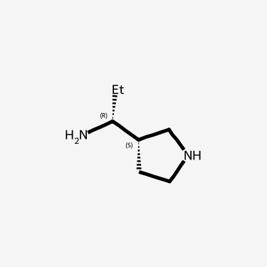 CC[C@@H](N)[C@H]1CCNC1